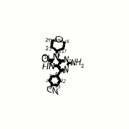 N#Cc1ccc(-c2nc(N)nc3c2[nH]c(=O)n3C2CCOCC2)cc1